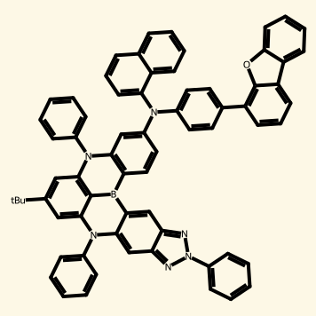 CC(C)(C)c1cc2c3c(c1)N(c1ccccc1)c1cc4nn(-c5ccccc5)nc4cc1B3c1ccc(N(c3ccc(-c4cccc5c4oc4ccccc45)cc3)c3cccc4ccccc34)cc1N2c1ccccc1